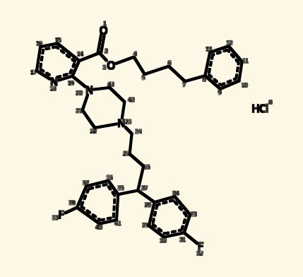 Cl.O=C(OCCCCc1ccccc1)c1cccnc1N1CCN(CCCC(c2ccc(F)cc2)c2ccc(F)cc2)CC1